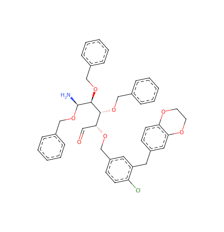 N[C@H](OCc1ccccc1)[C@@H](OCc1ccccc1)[C@H](OCc1ccccc1)[C@@H](C=O)OCc1ccc(Cl)c(Cc2ccc3c(c2)OCCO3)c1